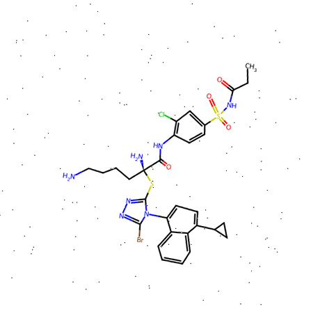 CCC(=O)NS(=O)(=O)c1ccc(NC(=O)[C@@](N)(CCCCN)Sc2nnc(Br)n2-c2ccc(C3CC3)c3ccccc23)c(Cl)c1